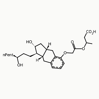 CCCCC[C@H](O)CC[C@@H]1[C@H]2Cc3cccc(OCC(=O)OC(C)CC(=O)O)c3C[C@H]2C[C@H]1O